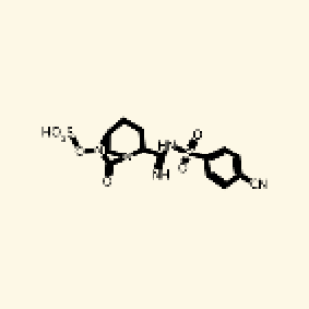 N#Cc1ccc(S(=O)(=O)NC(=N)C2CCC3CN2C(=O)N3OS(=O)(=O)O)cc1